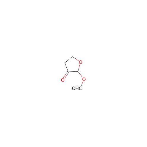 O=COC1OCCC1=O